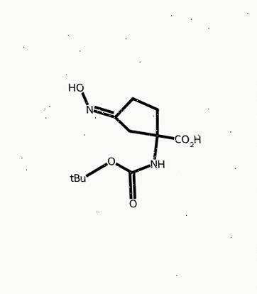 CC(C)(C)OC(=O)NC1(C(=O)O)CCC(=NO)C1